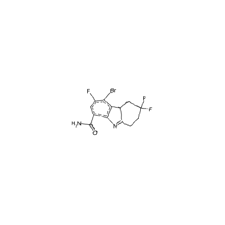 NC(=O)c1cc(F)c(Br)c2c1N=C1CCC(F)(F)CC12